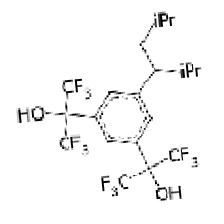 CC(C)CC(c1cc(C(O)(C(F)(F)F)C(F)(F)F)cc(C(O)(C(F)(F)F)C(F)(F)F)c1)C(C)C